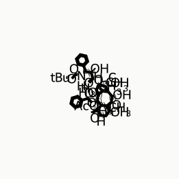 CC(=O)O[C@@]12CO[C@@H]1C[C@H](O)[C@@]1(C)C(=O)[C@H](O)C3=C(C)[C@@H](OC(=O)[C@H](O)[C@@H](NC(=O)OC(C)(C)C)c4ccccc4)C[C@@](O)([C@@H](OC(=O)c4ccccc4)[C@H]21)C3(C)C.CO